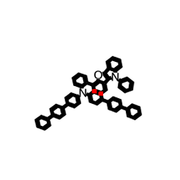 c1ccc(-c2ccc(-c3ccc(N(c4ccc(-c5ccc(-c6ccccc6)cc5)cc4)c4ccccc4-c4cccc5c4oc4c6ccccc6n(-c6ccccc6)c54)cc3)cc2)cc1